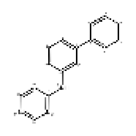 c1ccc(-c2cccc(Nc3ccncn3)c2)cc1